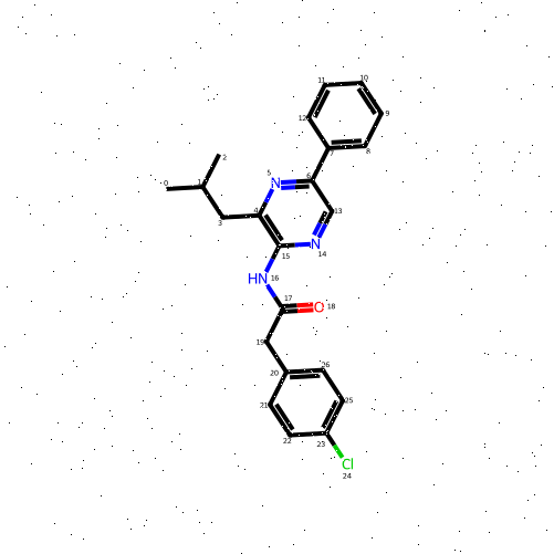 CC(C)Cc1nc(-c2ccccc2)cnc1NC(=O)Cc1ccc(Cl)cc1